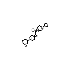 O=C(C1CC12CCN(C1CCCSC1)CC2)N1CCN(C2CCC2)CC1